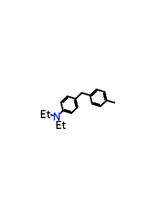 CCN(CC)c1ccc(Cc2ccc(C)cc2)cc1